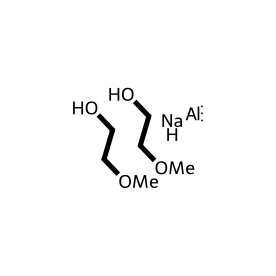 COCCO.COCCO.[Al].[NaH]